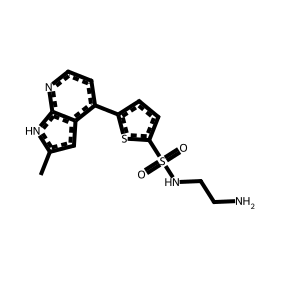 Cc1cc2c(-c3ccc(S(=O)(=O)NCCN)s3)ccnc2[nH]1